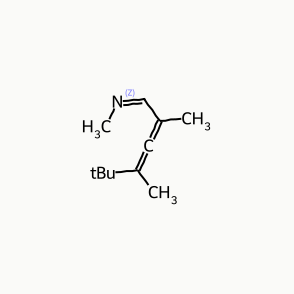 C/N=C\C(C)=C=C(C)C(C)(C)C